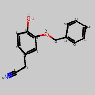 N#CCc1ccc(O)c(OCc2ccccc2)c1